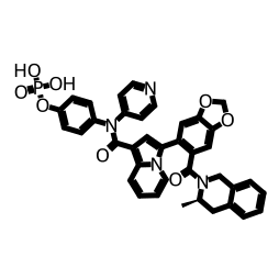 C[C@@H]1Cc2ccccc2CN1C(=O)c1cc2c(cc1-c1cc(C(=O)N(c3ccncc3)c3ccc(OP(=O)(O)O)cc3)c3ccccn13)OCO2